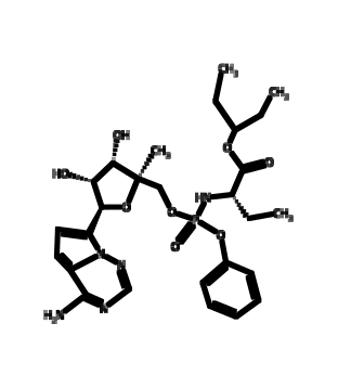 CCC(CC)OC(=O)[C@H](CC)NP(=O)(OC[C@@]1(C)O[C@@H](c2ccc3c(N)ncnn23)[C@H](O)[C@@H]1O)Oc1ccccc1